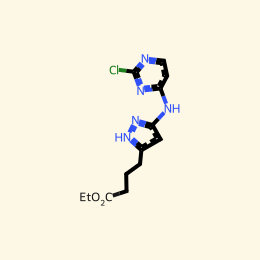 CCOC(=O)CCCc1cc(Nc2ccnc(Cl)n2)n[nH]1